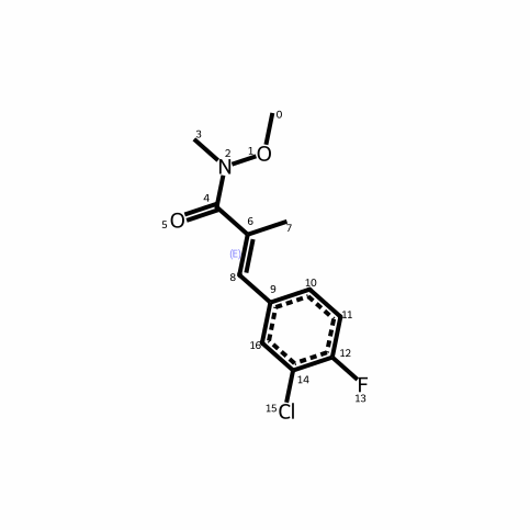 CON(C)C(=O)/C(C)=C/c1ccc(F)c(Cl)c1